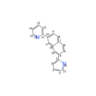 c1ccc(-c2ccc3ccc(-c4ccccn4)cc3c2)nc1